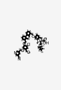 COc1nc(OCc2cccc(-c3cccc(COc4cc(OCc5cncc(C#N)c5)c(C=O)cc4Cl)c3C)c2C)ccc1CN(CCO[Si](C)(C)C(C)(C)C)C(=O)O